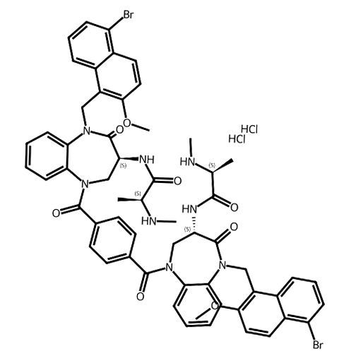 CN[C@@H](C)C(=O)N[C@H]1CN(C(=O)c2ccc(C(=O)N3C[C@H](NC(=O)[C@H](C)NC)C(=O)N(Cc4c(OC)ccc5c(Br)cccc45)c4ccccc43)cc2)c2ccccc2N(Cc2c(OC)ccc3c(Br)cccc23)C1=O.Cl.Cl